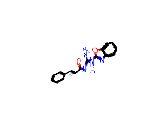 N/C(=N\C(=O)/C=C/c1ccccc1)Nc1nc2ccccc2o1